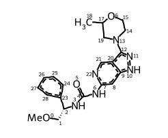 COC[C@@H](NC(=O)Nc1cc2[nH]nc(N3CCOC(C)C3)c2cn1)c1ccccc1